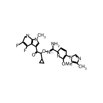 COc1nc(/C(N)=N/OC(C(=O)c2cn(C)c3ncc(F)c(F)c23)C2CC2)ccc1-n1cnc(C)c1